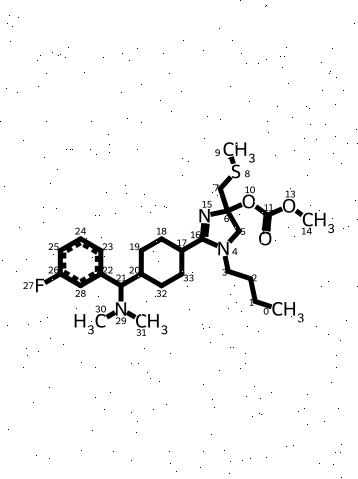 CCCCN1CC(CSC)(OC(=O)OC)N=C1C1CCC(C(c2cccc(F)c2)N(C)C)CC1